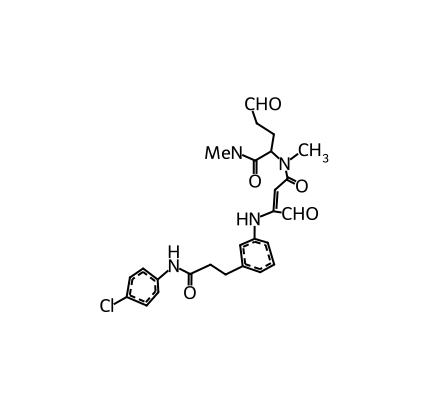 CNC(=O)C(CCC=O)N(C)C(=O)/C=C(\C=O)Nc1cccc(CCC(=O)Nc2ccc(Cl)cc2)c1